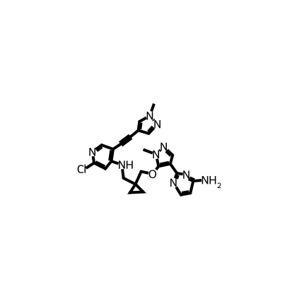 Cn1cc(C#Cc2cnc(Cl)cc2NCC2(COc3c(-c4nccc(N)n4)cnn3C)CC2)cn1